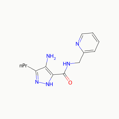 CCCc1n[nH]c(C(=O)NCc2ccccn2)c1N